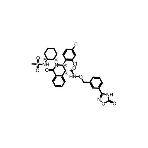 CS(=O)(=O)N[C@H]1CCCC[C@@H]1N1C(=O)c2ccccc2[C@@H](C(=O)NOCc2cccc(-c3noc(=O)[nH]3)c2)[C@@H]1c1ccc(Cl)cc1Cl